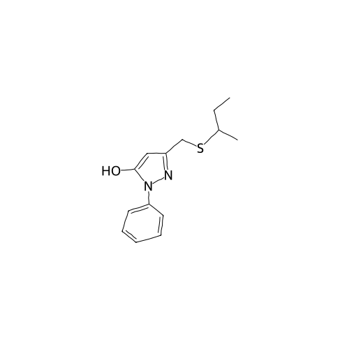 CCC(C)SCc1cc(O)n(-c2ccccc2)n1